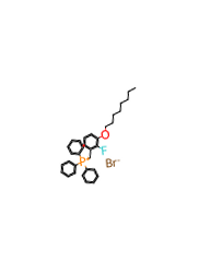 CCCCCCCCOc1cccc(C[P+](c2ccccc2)(c2ccccc2)c2ccccc2)c1F.[Br-]